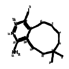 CC1(C)CCCCc2c(I)nnc(N)c2CC1